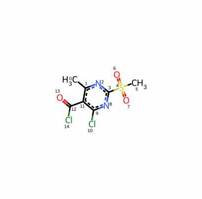 Cc1nc(S(C)(=O)=O)nc(Cl)c1C(=O)Cl